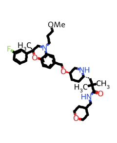 COCCCN1C[C@](C)(C2C=C(F)C=CC2)Oc2ccc(CO[C@@H]3CC[C@@H](CC(C)(C)C(=O)NCC4CCOCC4)NC3)cc21